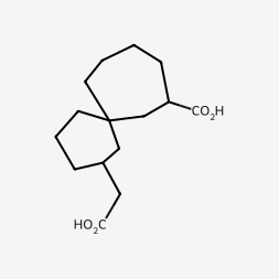 O=C(O)CC1CCCC2(CCCCC(C(=O)O)C2)C1